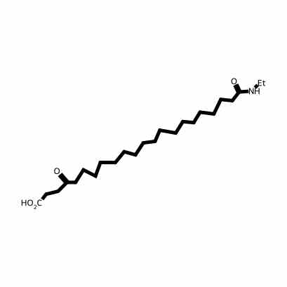 CCNC(=O)CCCCCCCCCCCCCCCCCC(=O)CCC(=O)O